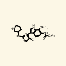 COC(=O)Nc1ccc2c(-c3nc(NC4CCCNC4)ncc3Cl)c[nH]c2c1OC(F)(F)F